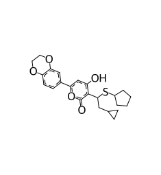 O=c1oc(-c2ccc3c(c2)OCCO3)cc(O)c1C(CC1CC1)SC1CCCC1